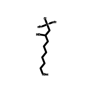 CCCCCCCCCCCCCCCCC(O)C[N+]([O-])(CCC)CCC